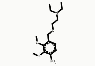 CCN(CC)CCOCc1ccc(N)c(OC)c1OC